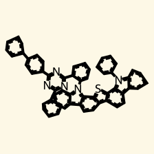 c1ccc(-c2ccc(-c3nc(-c4ccccc4)nc(-c4ccccc4-n4c5ccccc5c5ccc6c7ccc8c9ccccc9n(-c9ccccc9)c8c7sc6c54)n3)cc2)cc1